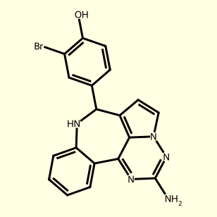 Nc1nc2c3c(ccn3n1)C(c1ccc(O)c(Br)c1)Nc1ccccc1-2